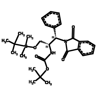 CC(C)(C)OC(=O)N[C@H](CO[Si](C)(C)C(C)(C)C)[C@H](c1ccccc1)N1C(=O)c2ccccc2C1=O